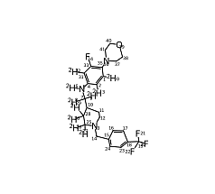 [2H]c1c([2H])c(N([2H])C([2H])([2H])C2CCN(Cc3ccc(C(F)(F)F)cc3)C([2H])([2H])C2([2H])[2H])c([2H])c(F)c1N1CCOCC1